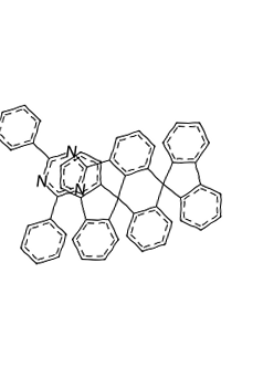 c1ccc(-c2nc(-c3ccccc3)nc(-c3cccc4c3C3(c5ccccc5-c5ccccc53)c3ccccc3C43c4ccccc4-c4ccccc43)n2)cc1